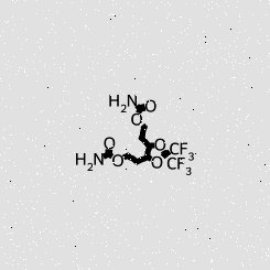 NC(=O)OCCC1OC(C(F)(F)F)(C(F)(F)F)OC1CCOC(N)=O